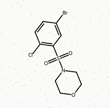 O=S(=O)(c1cc(Br)ccc1Cl)N1CCOCC1